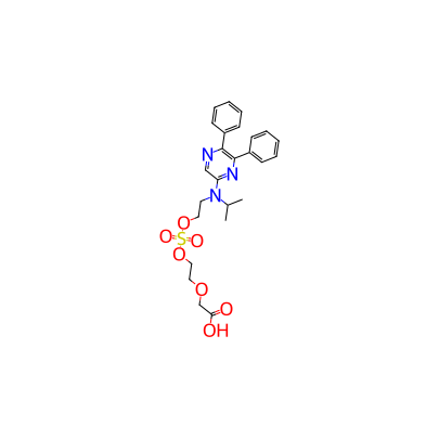 CC(C)N(CCOS(=O)(=O)OCCOCC(=O)O)c1cnc(-c2ccccc2)c(-c2ccccc2)n1